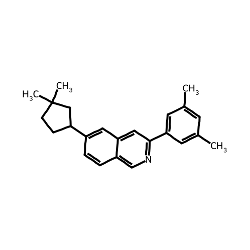 Cc1cc(C)cc(-c2cc3cc(C4CCC(C)(C)C4)ccc3cn2)c1